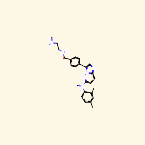 Cc1ccc(N(C)c2ccc3ncc(-c4ccc(C(=O)NCCN(C)C)cc4)n3n2)c(C)c1